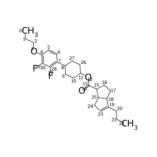 CCCOc1ccc(C2CCC(OC(=O)C3CCC4C(CCC)=CCC34)CC2)c(F)c1F